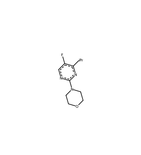 CC(C)c1nc(N2CCOCC2)ncc1F